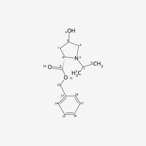 CC(C)N1CC(O)C[C@H]1C(=O)OCc1ccccc1